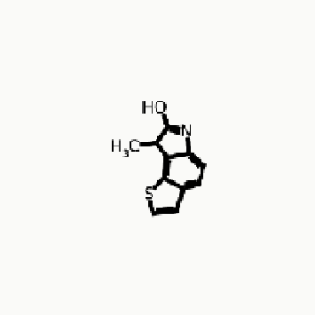 CC1C(O)=Nc2ccc3ccsc3c21